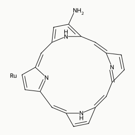 Nc1cc2cc3nc(cc4ccc(cc5nc(cc1[nH]2)C=C5)[nH]4)C=C3.[Ru]